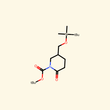 CC(C)(C)OC(=O)N1CC(CO[Si](C)(C)C(C)(C)C)CCC1=O